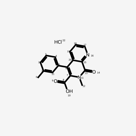 Cc1cccc(-c2c(C(=O)O)n(C)c(=O)c3ncccc23)c1.Cl